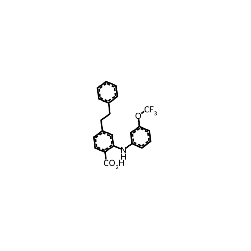 O=C(O)c1ccc(CCc2ccccc2)cc1Nc1cccc(OC(F)(F)F)c1